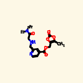 CCCN(CC)C(=O)CNCc1cc(C(=O)OCc2oc(=O)oc2C)ccn1